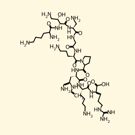 C=CN/C(=C\N)C[C@H](NC(=O)C1CCCN1C(=O)[C@@H](CCCN)NC(=O)CNC(=O)[C@H](CN)NC(=O)[C@H](NC(=O)C(N)CCCCN)[C@@H](O)CN)C(=O)N[C@@H](CCCCN)C(=O)N/C(=C\CCNC(=N)N)C(=O)O